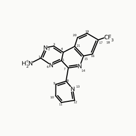 Nc1ncc2c(n1)c(-c1ccccn1)nc1cc(C(F)(F)F)ccc12